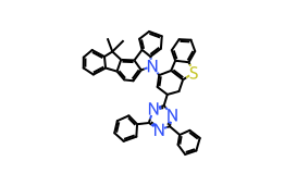 CC1(C)c2ccccc2-c2ccc3c(c21)c1ccccc1n3C1=CC(c2nc(-c3ccccc3)nc(-c3ccccc3)n2)Cc2sc3ccccc3c21